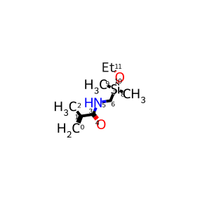 C=C(C)C(=O)NC[Si](C)(C)OCC